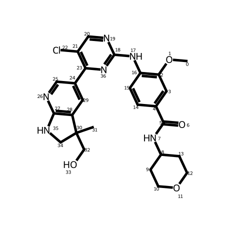 COc1cc(C(=O)NC2CCOCC2)ccc1Nc1ncc(Cl)c(-c2cnc3c(c2)C(C)(CO)CN3)n1